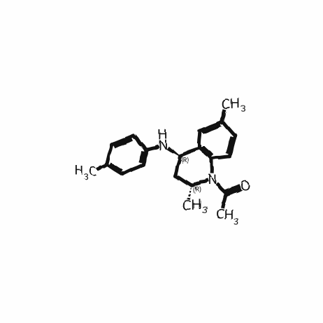 CC(=O)N1c2ccc(C)cc2[C@H](Nc2ccc(C)cc2)C[C@H]1C